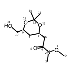 CON(C)C(=O)C[C@H]1C[C@@H](CO)OC(C)(C)O1